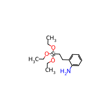 CCO[Si](CCc1ccccc1N)(OCC)OCC